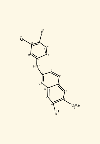 COc1cc2ccc(Nc3ccc(F)c(Cl)c3)nc2cc1O